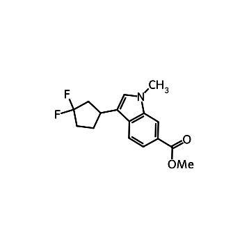 COC(=O)c1ccc2c(C3CCC(F)(F)C3)cn(C)c2c1